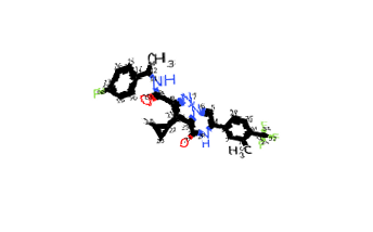 Cc1cc(-c2cn3nc(C(=O)NC(C)c4ccc(F)cc4)c(C4CC4)c3c(=O)[nH]2)ccc1C(F)(F)F